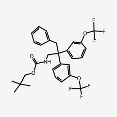 CC(C)(C)COC(=O)NCC(Cc1ccccc1)(c1cccc(OC(F)(F)F)c1)c1cccc(OC(F)(F)F)c1